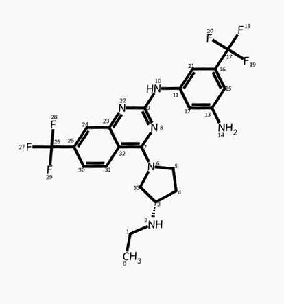 CCN[C@H]1CCN(c2nc(Nc3cc(N)cc(C(F)(F)F)c3)nc3cc(C(F)(F)F)ccc23)C1